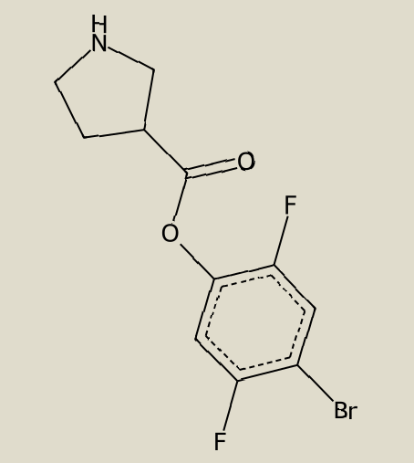 O=C(Oc1cc(F)c(Br)cc1F)C1CCNC1